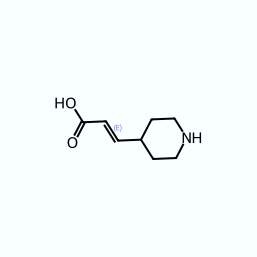 O=C(O)/C=C/C1CCNCC1